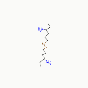 CCC(N)CCCSSCCCC(N)CC